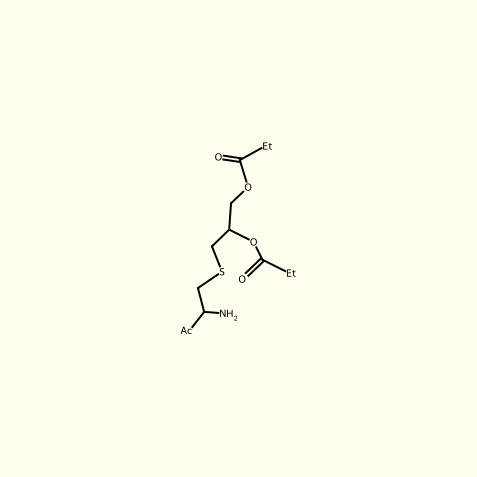 CCC(=O)OCC(CSCC(N)C(C)=O)OC(=O)CC